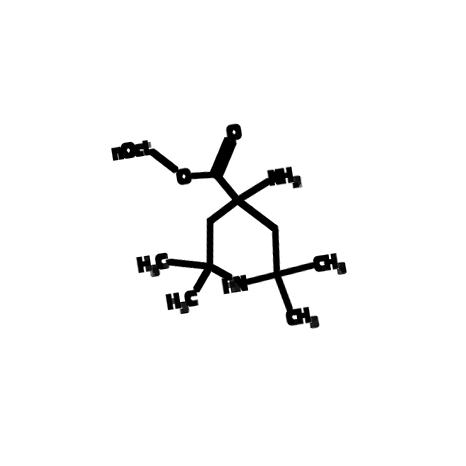 CCCCCCCCOC(=O)C1(N)CC(C)(C)NC(C)(C)C1